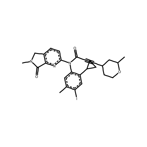 Cc1cc(N(C(=O)C#CC2CCOC(C)C2)c2ccc3c(n2)C(=O)N(C)C3)c(C2CC2)cc1I